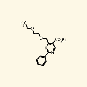 CCOC(=O)c1cnc(-c2ccccc2)nc1COCCOCC(F)(F)F